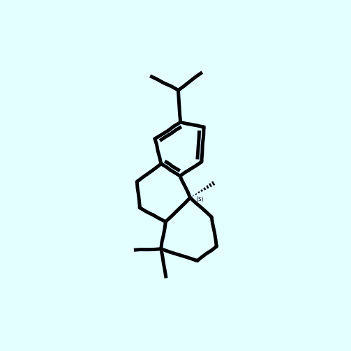 CC(C)c1ccc2c(c1)CCC1C(C)(C)CCC[C@]21C